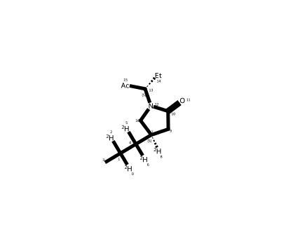 [2H]C([2H])(C)C([2H])([2H])[C@]1([2H])CC(=O)N([C@@H](CC)C(C)=O)C1